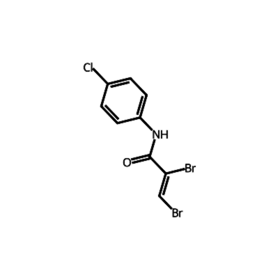 O=C(Nc1ccc(Cl)cc1)/C(Br)=C/Br